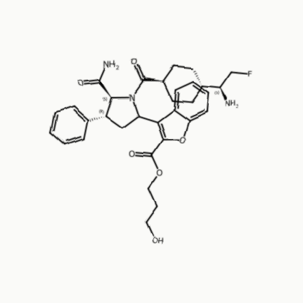 NC(=O)[C@@H]1[C@@H](c2ccccc2)CC(c2c(C(=O)OCCCO)oc3ccccc23)N1C(=O)[C@H]1CC[C@H]([C@H](N)CF)CC1